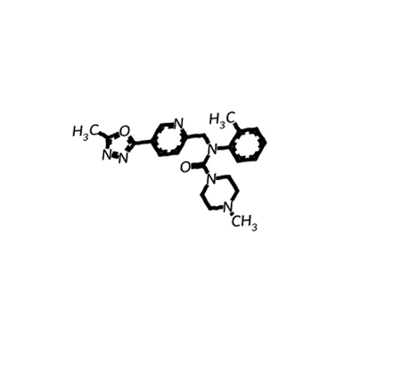 Cc1nnc(-c2ccc(CN(C(=O)N3CCN(C)CC3)c3ccccc3C)nc2)o1